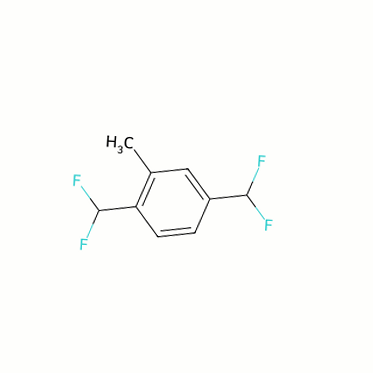 Cc1cc(C(F)F)ccc1C(F)F